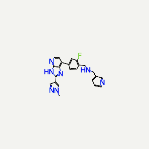 Cn1cc(-c2nc3c(-c4ccc(CNCc5cccnc5)c(F)c4)ccnc3[nH]2)cn1